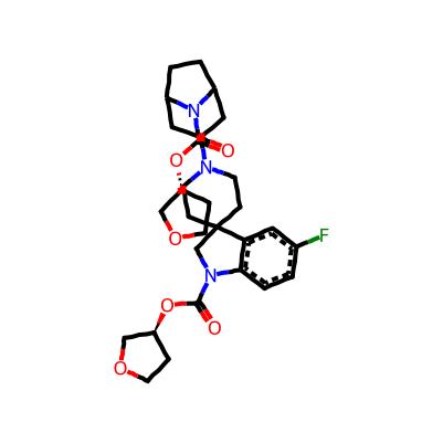 O=C(O[C@H]1CCOC1)N1CC2(CCN(C3CC4CCC(C3)N4C(=O)O[C@@H]3CCOC3)CC2)c2cc(F)ccc21